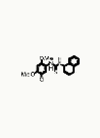 COc1cc(OC)c(NC(=S)NC2C=C[CH]c3ccccc32)cc1Cl